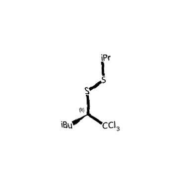 CCC(C)[C@@H](SSC(C)C)C(Cl)(Cl)Cl